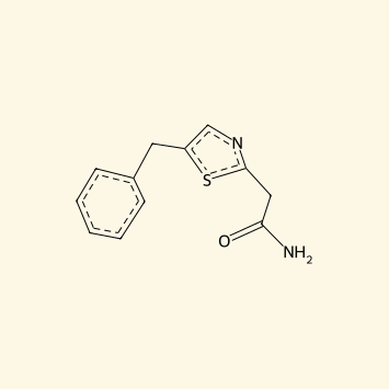 NC(=O)Cc1ncc(Cc2ccccc2)s1